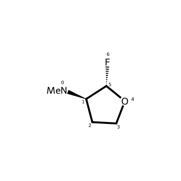 CN[C@@H]1CCO[C@H]1F